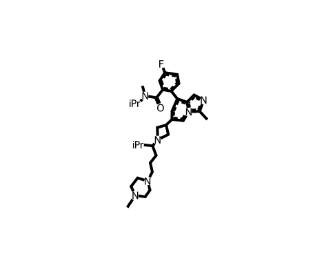 Cc1ncc2c(-c3ccc(F)cc3C(=O)N(C)C(C)C)cc(C3CN(C(CCCN4CCN(C)CC4)C(C)C)C3)cn12